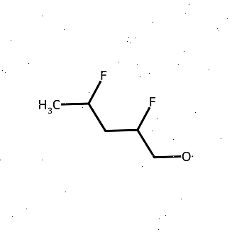 CC(F)CC(F)C[O]